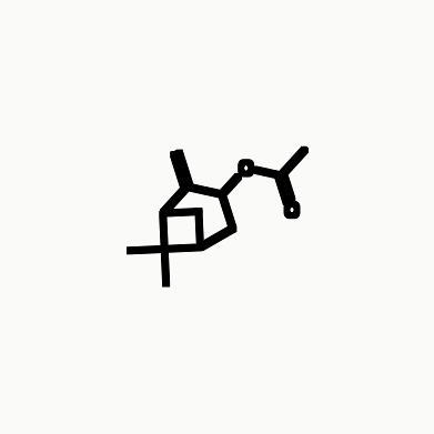 C=C1C(OC(C)=O)CC2CC1C2(C)C